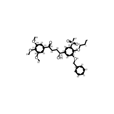 CCCOc1c(OCc2ccccc2)cc([C@@H](O)CCC(=O)c2cc(OC)c(OC)c(OC)c2)cc1S(C)(=O)=O